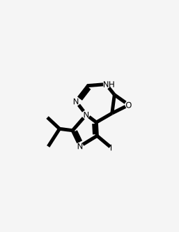 CC(C)c1nc(I)c2n1N=CNC1OC21